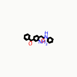 Nc1cc(C(=O)c2ccccc2)ccc1CC(=O)Nc1ccccc1